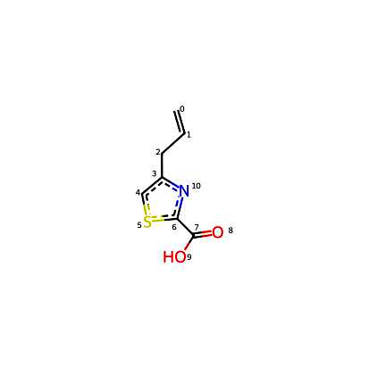 C=CCc1csc(C(=O)O)n1